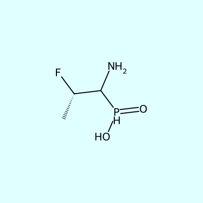 C[C@H](F)C(N)[PH](=O)O